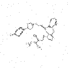 CN(C)C(=O)COC1C=CC=C2Oc3ncccc3C(=CCCN3CCC(c4ccc(Cl)cc4)CC3)C=C21